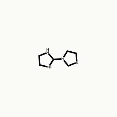 C1CN[C](N2CCSC2)N1